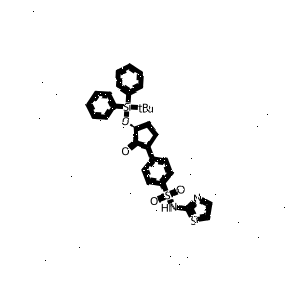 CC(C)(C)[Si](O[C@@H]1CCC(c2ccc(S(=O)(=O)Nc3nccs3)cc2)C1=O)(c1ccccc1)c1ccccc1